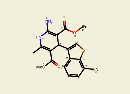 COC(=O)C1=C(C)NC(N)=C(C(=O)OC(C)C)C1c1csc2c(C#N)cccc12